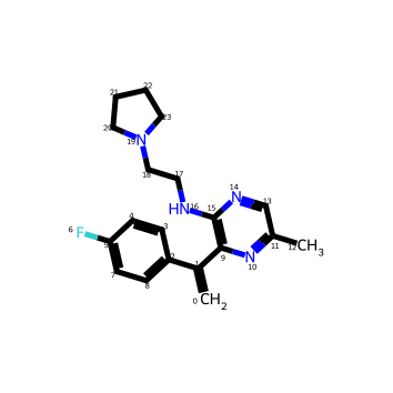 C=C(c1ccc(F)cc1)c1nc(C)cnc1NCCN1CCCC1